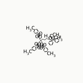 Cc1ccc(S(=O)(=O)OCC(CCCCO[Si](c2ccccc2)(c2ccccc2)C(C)(C)C)(COS(=O)(=O)c2ccc(C)cc2)COS(=O)(=O)c2ccc(C)cc2)cc1